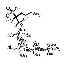 CCCC[N+](CCCC)(CCCC)CCCC.CCCC[N+](CCCC)(CCCC)CCCC.CCCC[N+](CCCC)(CCCC)CCCC.CCCC[N+](CCCC)(CCCC)CCCC.NCCCC(O)(P(=O)([O-])[O-])P(=O)([O-])[O-]